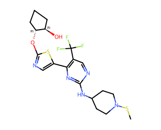 CSN1CCC(Nc2ncc(C(F)(F)F)c(-c3cnc(O[C@@H]4CCC[C@H]4O)s3)n2)CC1